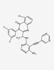 CC(Nc1ncnc(N)c1C#Cc1cncnc1)c1nc2cccc(Cl)c2c(=O)n1-c1cc(F)cc(F)c1